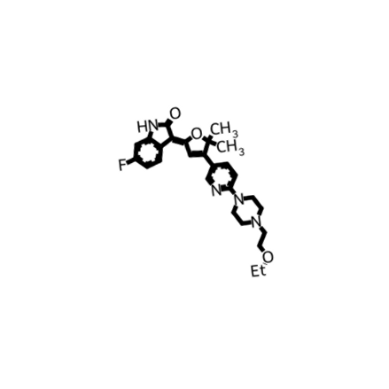 CCOCCN1CCN(c2ccc(C3=CC(=C4C(=O)Nc5cc(F)ccc54)OC3(C)C)cn2)CC1